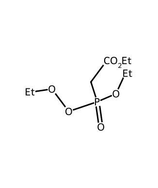 CCOOP(=O)(CC(=O)OCC)OCC